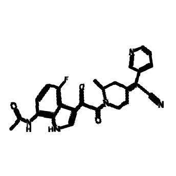 CC(=O)Nc1ccc(F)c2c(C(=O)C(=O)N3CC/C(=C(\C#N)c4cccnc4)CC3C)c[nH]c12